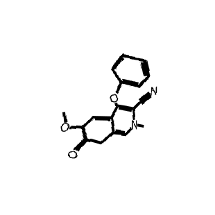 COC1C=C2C(=CN(C)C(C#N)=C2Oc2ccccc2)CC1=O